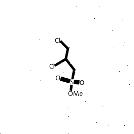 COS(=O)(=O)CC(Cl)CCl